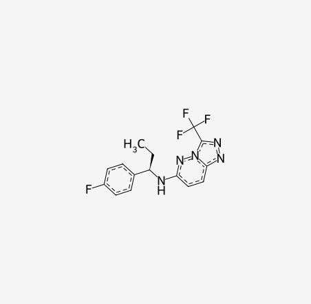 CC[C@@H](Nc1ccc2nnc(C(F)(F)F)n2n1)c1ccc(F)cc1